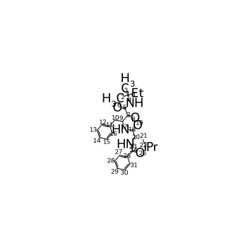 CCC(C)(C)NC(=O)C(=O)C(Cc1ccccc1)NC(=O)[C@H](CC(C)C)NC(=O)c1ccccc1